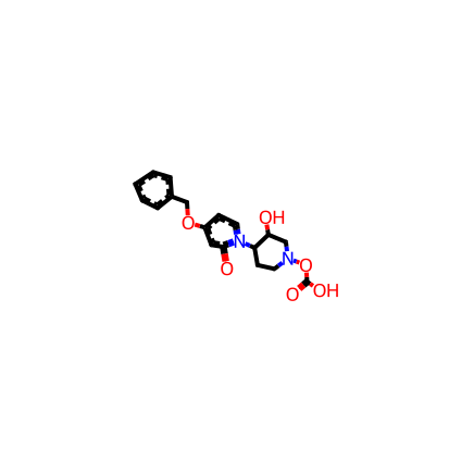 O=C(O)ON1CCC(n2ccc(OCc3ccccc3)cc2=O)C(O)C1